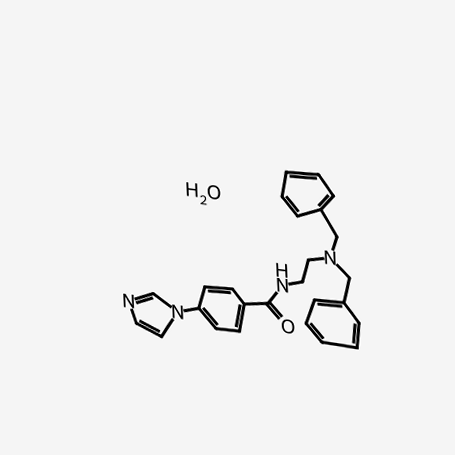 O.O=C(NCCN(Cc1ccccc1)Cc1ccccc1)c1ccc(-n2ccnc2)cc1